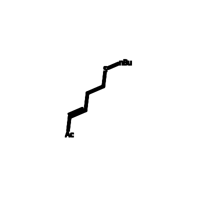 CCCCSCC/C=C/C(C)=O